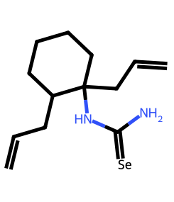 C=CCC1CCCCC1(CC=C)NC(N)=[Se]